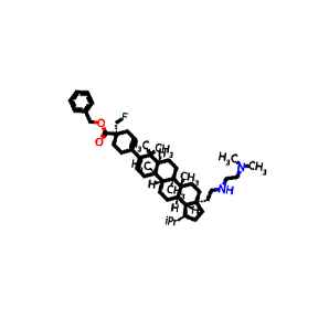 CC(C)[C@@H]1CC[C@]2(CCNCCN(C)C)CC[C@]3(C)[C@H](CC[C@@H]4[C@@]5(C)CC=C(C6=CC[C@](CF)(C(=O)OCc7ccccc7)CC6)C(C)(C)[C@@H]5CC[C@]43C)[C@@H]12